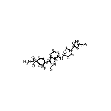 CC(C)c1noc(N2CCC(Oc3ncnc4c(-c5ccc(S(N)(=O)=O)cc5F)n(C)nc34)CC2)n1